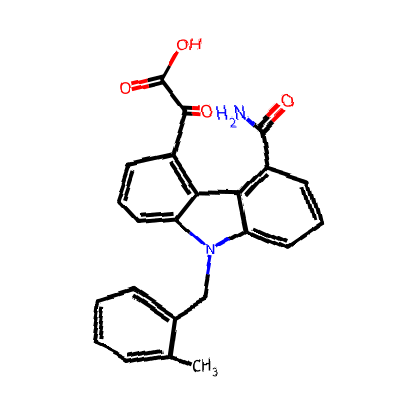 Cc1ccccc1Cn1c2cccc(C(N)=O)c2c2c(C(=O)C(=O)O)cccc21